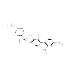 CCCC1CCC(C(F)(F)Oc2ccc(-c3ccc(C4CO4)c(F)c3C(F)F)c(F)c2F)CC1